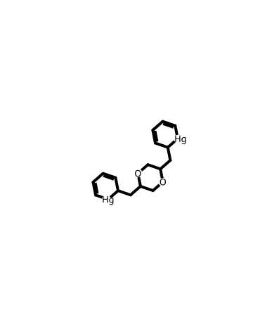 C1=[CH][Hg][CH](CC2COC(C[CH]3C=CC=[CH][Hg]3)CO2)C=C1